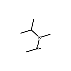 CBB(C)C(C)C